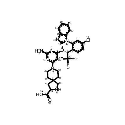 Nc1nc(O[C@H](c2ccc(Cl)cc2-n2cnc3ccccc32)C(F)(F)F)cc(N2CCC3(CC2)CNC(C(=O)O)C3)n1